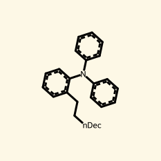 CCCCCCCCCCCCc1ccccc1N(c1ccccc1)c1ccccc1